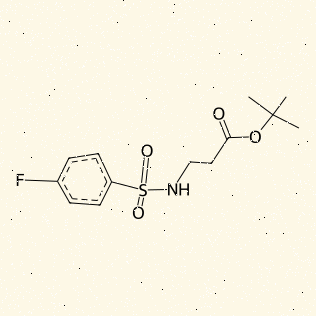 CC(C)(C)OC(=O)CCNS(=O)(=O)c1ccc(F)cc1